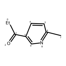 CCC(=O)c1ccc(C)nc1